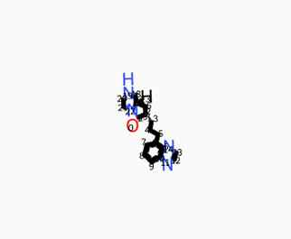 O=C1[C@@H](CCCc2cccc3nccnc23)C[C@H]2CNCCN12